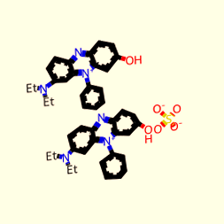 CCN(CC)c1ccc2nc3ccc(O)cc3[n+](-c3ccccc3)c2c1.CCN(CC)c1ccc2nc3ccc(O)cc3[n+](-c3ccccc3)c2c1.O=S(=O)([O-])[O-]